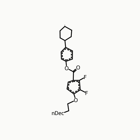 CCCCCCCCCCCCOc1ccc(C(=O)Oc2ccc(C3CC[CH]CC3)cc2)c(F)c1F